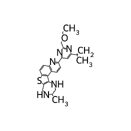 C=C(C)c1cc(-c2ccc3c(ccc4sc5c(c43)NC[C@@H](C)NC5)n2)nc(COCC)n1